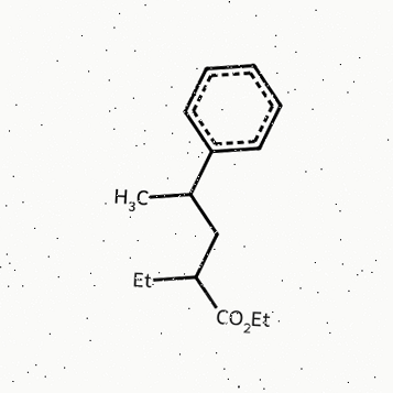 CCOC(=O)C(CC)CC(C)c1ccccc1